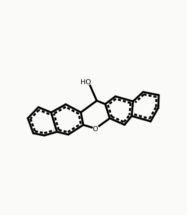 OC1c2cc3ccccc3cc2Oc2cc3ccccc3cc21